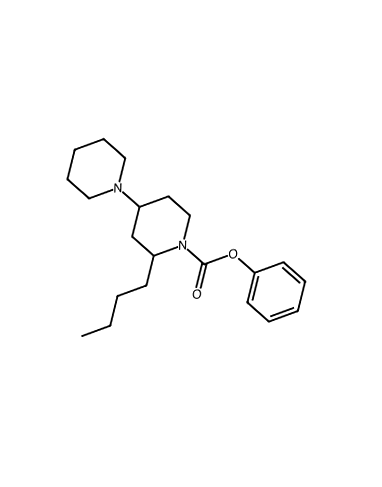 CCCCC1CC(N2CCCCC2)CCN1C(=O)Oc1ccccc1